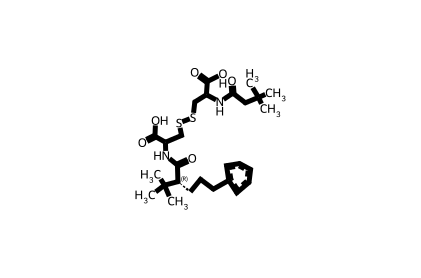 CC(C)(C)CC(=O)NC(CSSCC(NC(=O)[C@H](CCCc1ccccc1)C(C)(C)C)C(=O)O)C(=O)O